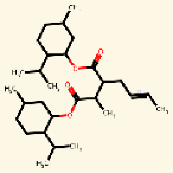 C/C=C/CC(C(=O)OC1CC(C)CCC1C(C)C)C(C)C(=O)OC1CC(C)CCC1C(C)C